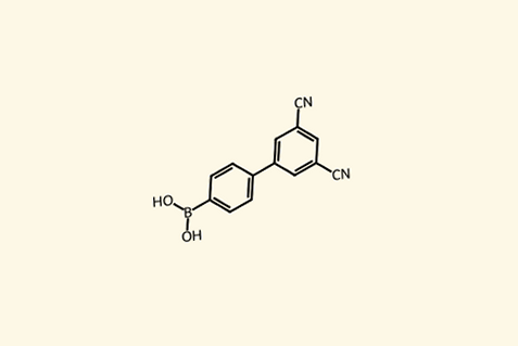 N#Cc1cc(C#N)cc(-c2ccc(B(O)O)cc2)c1